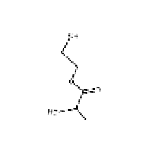 CC(O)C(=O)OCCO